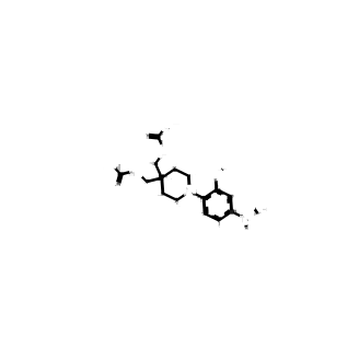 COc1cc([N+](=O)[O-])ccc1N1CCC(COC(C)=O)(COC(C)=O)CC1